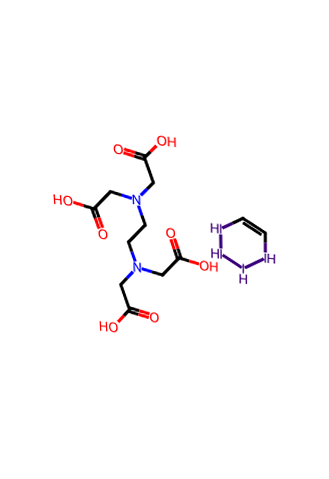 C1=C[IH][IH][IH][IH]1.O=C(O)CN(CCN(CC(=O)O)CC(=O)O)CC(=O)O